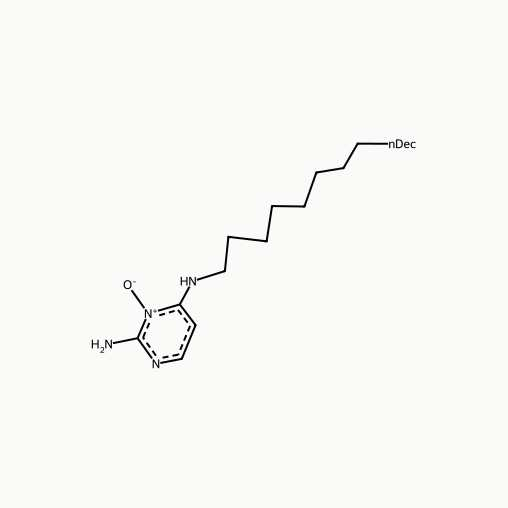 CCCCCCCCCCCCCCCCCCNc1ccnc(N)[n+]1[O-]